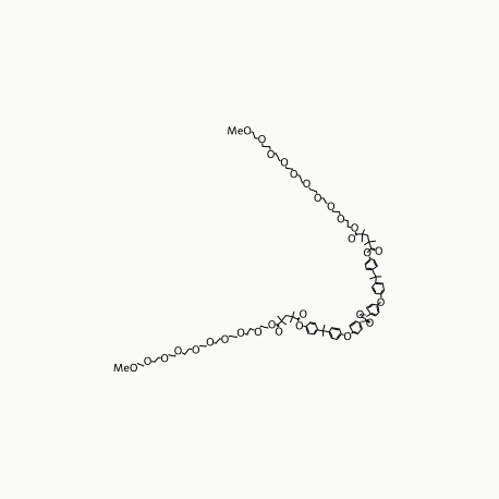 COCCOCCOCCOCCOCCOCCOCCOCCOCCOC(=O)C(C)(C)CC(C)(C)C(=O)Oc1ccc(C(C)(C)c2ccc(Oc3ccc(S(=O)(=O)c4ccc(Oc5ccc(C(C)(C)c6ccc(OC(=O)C(C)(C)CC(C)(C)C(=O)OCCOCCOCCOCCOCCOCCOCCOCCOCCOC)cc6)cc5)cc4)cc3)cc2)cc1